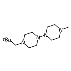 CN1CCN(N2CCN(CC(C)(C)C)CC2)CC1